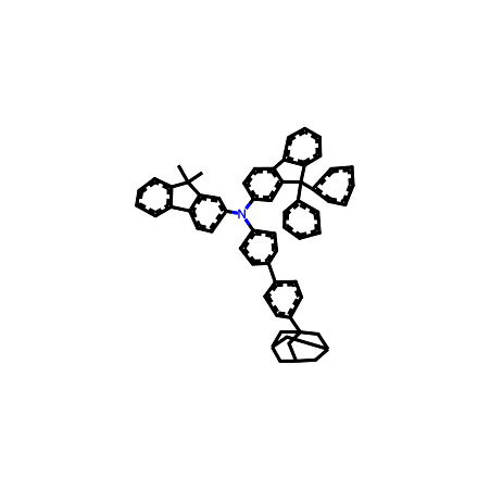 CC1(C)c2ccccc2-c2ccc(N(c3ccc(-c4ccc(C56CC7CC(CC(C7)C5)C6)cc4)cc3)c3ccc4c(c3)C(c3ccccc3)(c3ccccc3)c3ccccc3-4)cc21